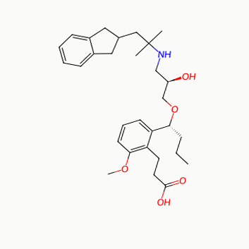 CCC[C@@H](OC[C@H](O)CNC(C)(C)CC1Cc2ccccc2C1)c1cccc(OC)c1CCC(=O)O